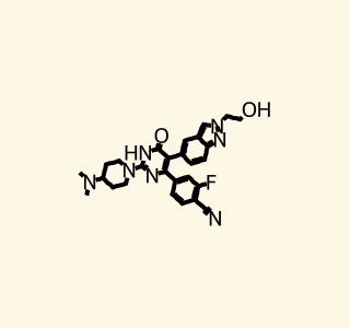 CN(C)C1CCN(c2nc(-c3ccc(C#N)c(F)c3)c(-c3ccc4nn(CCO)cc4c3)c(=O)[nH]2)CC1